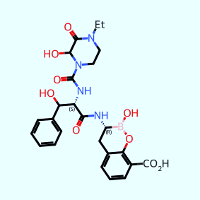 CCN1CCN(C(=O)N[C@H](C(=O)N[C@H]2Cc3cccc(C(=O)O)c3OB2O)C(O)c2ccccc2)C(O)C1=O